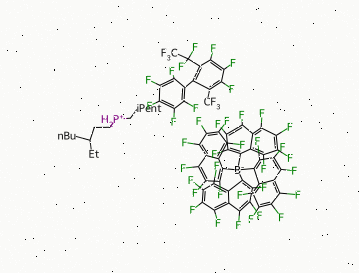 CCCCC(CC)CC[PH2+]CC(C)CCC.Fc1c(F)c(F)c(-c2c(C(F)(F)F)c(F)c(F)c(F)c2C(F)(F)C(F)(F)F)c(F)c1F.Fc1c(F)c(F)c2c([B-](c3c(F)c(F)c(F)c4c(F)c(F)c(F)c(F)c34)(c3c(F)c(F)c(F)c4c(F)c(F)c(F)c(F)c34)c3c(F)c(F)c(F)c4c(F)c(F)c(F)c(F)c34)c(F)c(F)c(F)c2c1F